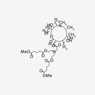 CC[C@H]1OC(=O)[C@H](C)[C@@H](OC(=O)CN(CCOC(=O)CCCC(=O)OC)CCOC(=O)CCCC(=O)OC)[C@H](C)[C@@H](O)[C@](C)(O)C[C@@H](C)CN(C)[C@H](C)[C@@H](O)[C@]1(C)O